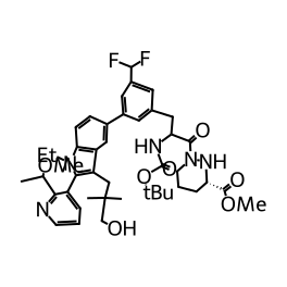 CCn1c(-c2cccnc2C(C)OC)c(CC(C)(C)CO)c2cc(-c3cc(CC(NC(=O)OC(C)(C)C)C(=O)N4CCC[C@@H](C(=O)OC)N4)cc(C(F)F)c3)ccc21